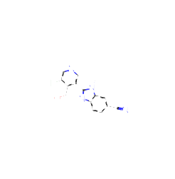 Cn1c(-c2cncc(F)c2CO)nc2ccc(C#N)cc21